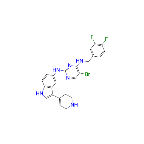 Fc1ccc(CNc2nc(Nc3ccc4[nH]cc(C5=CCNCC5)c4c3)ncc2Br)cc1F